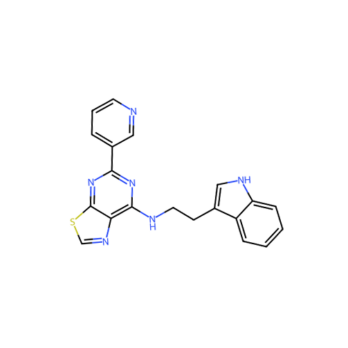 c1cncc(-c2nc(NCCc3c[nH]c4ccccc34)c3ncsc3n2)c1